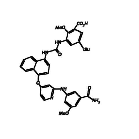 COc1cc(Nc2cc(Oc3ccc(NC(=O)Nc4cc(C(C)(C)C)cc(C(=O)O)c4OC)c4ccccc34)ccn2)cc(C(N)=O)c1